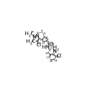 C=NN1CCCc2sc(C(=O)N[C@H](CN)Cc3cccc(Cl)c3)cc2/C1=C(/C)Cl